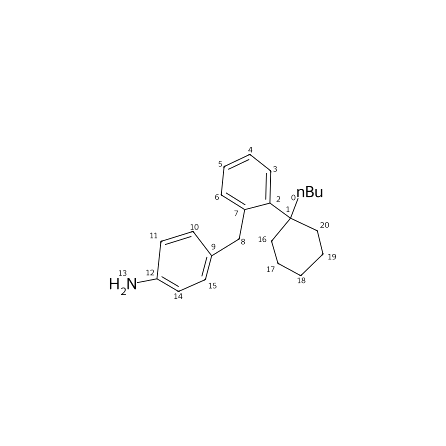 CCCCC1(c2ccccc2Cc2ccc(N)cc2)CCCCC1